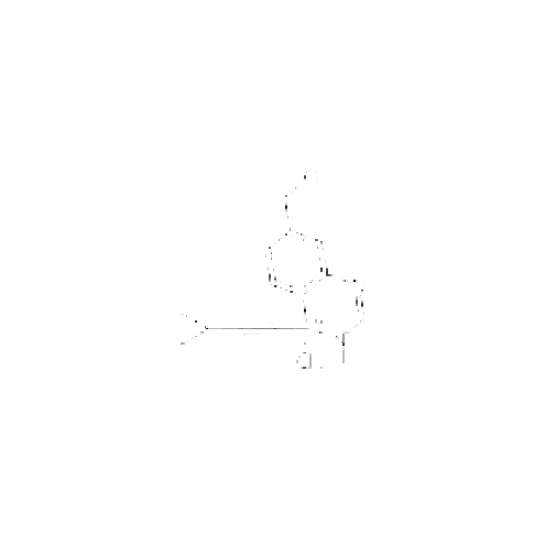 FC(F)(F)[C@@]1(C#CC2CC2)NC=Nc2cc(CCl)ccc21